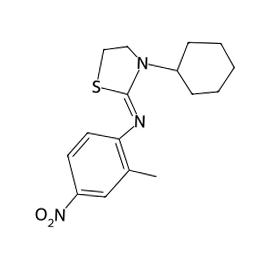 Cc1cc([N+](=O)[O-])ccc1/N=C1\SCCN1C1CCCCC1